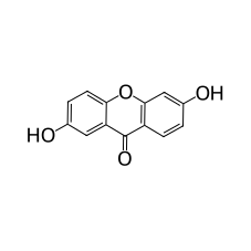 O=c1c2ccc(O)cc2oc2ccc(O)cc12